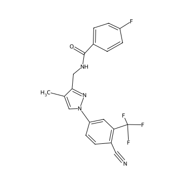 Cc1cn(-c2ccc(C#N)c(C(F)(F)F)c2)nc1CNC(=O)c1ccc(F)cc1